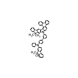 CC1(C)c2ccccc2-c2ccc(N(c3ccccc3)c3ccc(-c4cccc(-n5c6cc7c(cc6c6c8c9ccccc9c9ccccc9c8ccc65)-c5ccccc5C7(C)C)c4)cc3)cc21